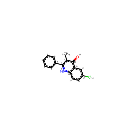 Cc1c(-c2ccccc2)[nH]c2ccc(Cl)cc2c1=O